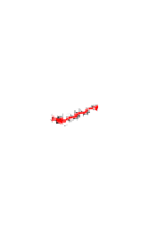 CC(C)(C)OC(=O)N1CC2CC[C@@H]1CN2C(=O)CNC(=O)CNC(=O)CNC(=O)CNC(=O)CNC(=O)CCN1C(=O)C=CC1=O